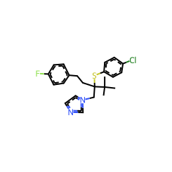 CC(C)(C)C(CCc1ccc(F)cc1)(Cn1ccnc1)Sc1ccc(Cl)cc1